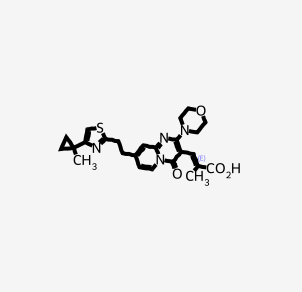 C/C(=C\c1c(N2CCOCC2)nc2cc(CCc3nc(C4(C)CC4)cs3)ccn2c1=O)C(=O)O